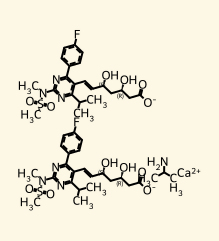 CC(C)N.CC(C)c1nc(N(C)S(C)(=O)=O)nc(-c2ccc(F)cc2)c1C=C[C@@H](O)C[C@@H](O)CC(=O)[O-].CC(C)c1nc(N(C)S(C)(=O)=O)nc(-c2ccc(F)cc2)c1C=C[C@@H](O)C[C@@H](O)CC(=O)[O-].[Ca+2]